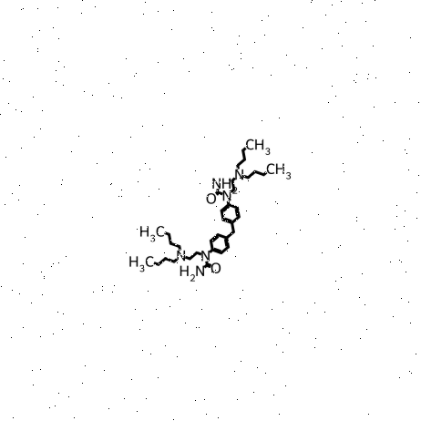 CCCCN(CCCC)CCN(C(N)=O)c1ccc(Cc2ccc(N(CCN(CCCC)CCCC)C(N)=O)cc2)cc1